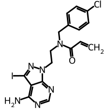 C=CC(=O)N(CCn1nc(I)c2c(N)ncnc21)Cc1ccc(Cl)cc1